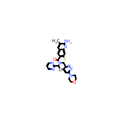 Cc1cc2cc(C(=O)N(Cc3ccc(N4CCOCC4)nn3)C(C)c3ncccn3)c(F)cc2nc1N